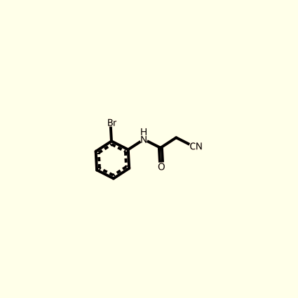 N#CCC(=O)Nc1ccccc1Br